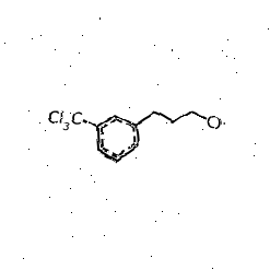 [O]CCCc1cccc(C(Cl)(Cl)Cl)c1